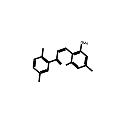 C=C(/C=C\c1c(C)cc(C)cc1NC)c1cc(C)ccc1C